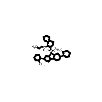 C=CCOc1c([Si](C)(C)C2c3cc(-c4ccccc4C)ccc3-c3ccc(-c4ccccc4C)cc32)ccc2ccccc12